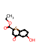 CCOC(=O)c1cc(=O)c2cc(O)ccc2s1